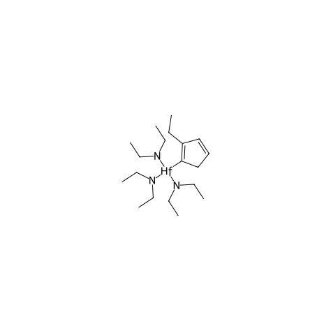 CCC1=[C]([Hf]([N](CC)CC)([N](CC)CC)[N](CC)CC)CC=C1